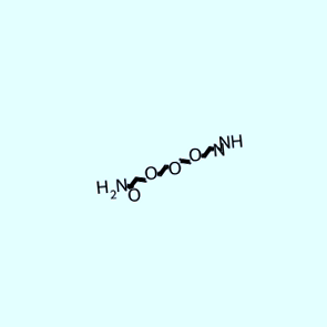 N=NCCOCCOCCOCCC(N)=O